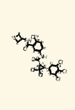 O=C(NC1CSC1)c1cc(NC(=O)[C@H]2[C@H](c3cc(Cl)c(Cl)c(Cl)c3)C2(Cl)Cl)ccc1Cl